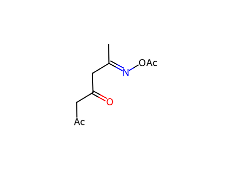 CC(=O)CC(=O)CC(C)=NOC(C)=O